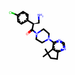 CC1(C)CCc2ncnc(N3CCN(C(=O)[C@H](CN)c4ccc(Cl)cc4)CC3)c21